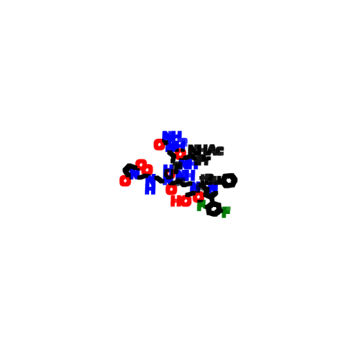 CC(=O)NC(C(=O)N[C@@H](CCCNC(N)=O)C(=O)N[C@@H](CCN(C(=O)CO)[C@@H](c1cc(-c2cc(F)ccc2F)cn1Cc1ccccc1)C(C)(C)C)C(=O)NCCNC(=O)CN1C(=O)C=CC1=O)C(C)C